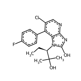 CC[C@@H](n1c(O)nc2ncc(Cl)c(-c3ccc(F)cc3)c21)C(C)(C)O